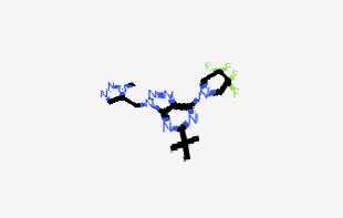 Cn1nncc1Cn1nnc2c(N3CC(F)(F)C(F)(F)C3)nc(C(C)(C)C)nc21